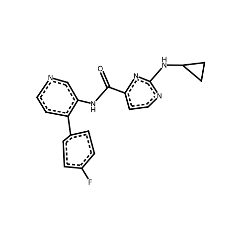 O=C(Nc1cnccc1-c1ccc(F)cc1)c1ccnc(NC2CC2)n1